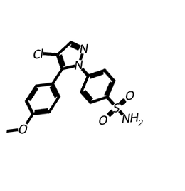 COc1ccc(-c2c(Cl)cnn2-c2ccc(S(N)(=O)=O)cc2)cc1